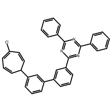 ClC1=CC=CC(c2cccc(-c3cccc(-c4nc(-c5ccccc5)nc(-c5ccccc5)n4)c3)c2)C=C1